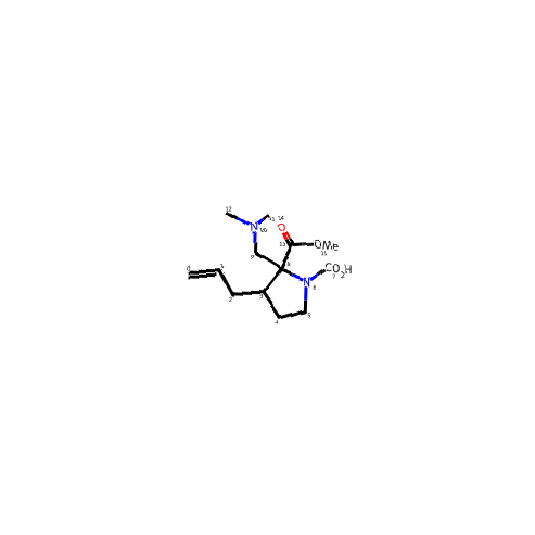 C=CCC1CCN(C(=O)O)C1(CN(C)C)C(=O)OC